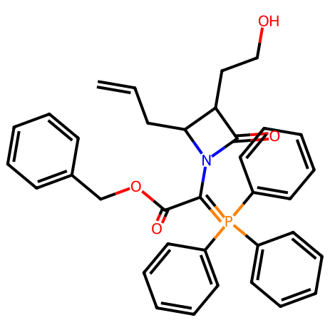 C=CCC1C(CCO)C(=O)N1C(C(=O)OCc1ccccc1)=P(c1ccccc1)(c1ccccc1)c1ccccc1